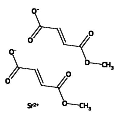 COC(=O)/C=C/C(=O)[O-].COC(=O)/C=C/C(=O)[O-].[Sr+2]